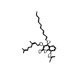 CCCCCCCCCCOc1c(OCC=C(C)CCC=C(C)C)c(=O)oc2c(OC(C)C)cccc12